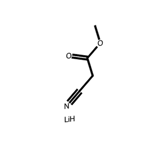 COC(=O)CC#N.[LiH]